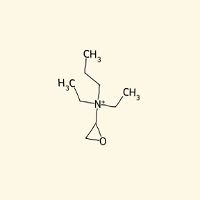 CCC[N+](CC)(CC)C1CO1